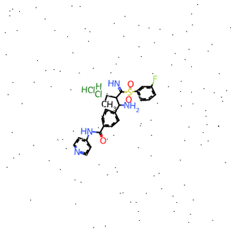 CCC(C(=N)S(=O)(=O)c1cccc(F)c1)C(N)c1ccc(C(=O)Nc2ccncc2)cc1.Cl.Cl